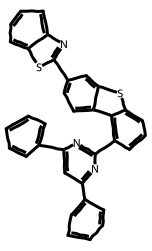 c1ccc(-c2cc(-c3ccccc3)nc(-c3cccc4sc5cc(-c6nc7ccccc7s6)ccc5c34)n2)cc1